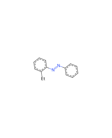 CCc1ccccc1/N=N/c1ccccc1